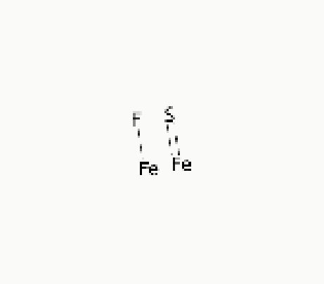 [F][Fe].[S]=[Fe]